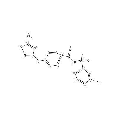 CS(=O)(=NC(=O)c1ccc(Cc2noc(C(F)(F)F)n2)cc1)c1cccc(F)c1